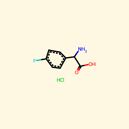 Cl.NC(C(=O)O)c1ccc(F)cc1